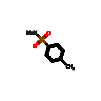 [CH]NS(=O)(=O)c1ccc(C)cc1